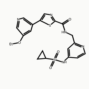 CCOc1cncc(-c2cnc(C(=O)NCc3cc(NS(=O)(=O)C4CC4)ccn3)s2)c1